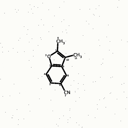 Cc1oc2ccc(C#N)cc2c1C